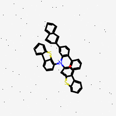 c1ccc(-c2ccc(-c3ccc4ccccc4c3)cc2N(c2ccc3c(c2)sc2ccccc23)c2cccc3c2sc2ccccc23)cc1